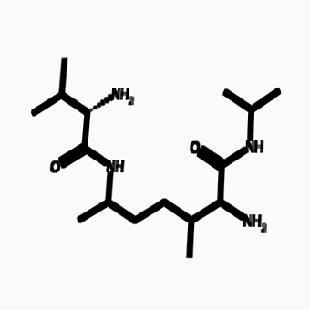 CC(C)NC(=O)C(N)C(C)CCC(C)NC(=O)[C@@H](N)C(C)C